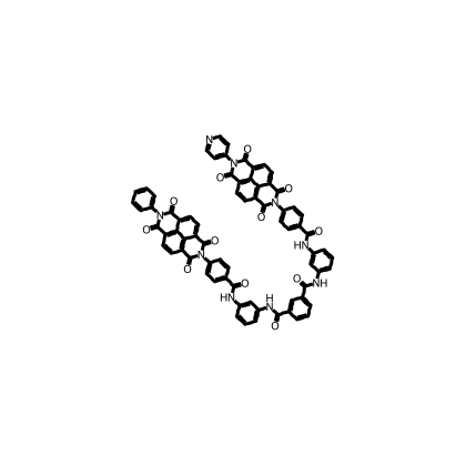 O=C(Nc1cccc(NC(=O)c2cccc(C(=O)Nc3cccc(NC(=O)c4ccc(N5C(=O)c6ccc7c8c(ccc(c68)C5=O)C(=O)N(c5ccncc5)C7=O)cc4)c3)c2)c1)c1ccc(N2C(=O)c3ccc4c5c(ccc(c35)C2=O)C(=O)N(c2ccccc2)C4=O)cc1